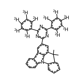 [2H]c1c([2H])c([2H])c(-c2nc(-c3cc4c5c(c3)c3ccccc3n5-c3ccccc3C4(C)C)nc(-c3c([2H])c([2H])c([2H])c([2H])c3[2H])n2)c([2H])c1[2H]